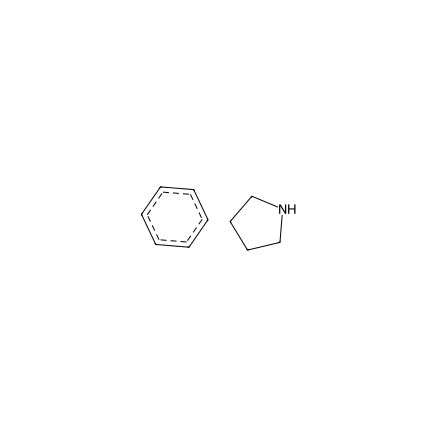 C1CCNC1.c1ccccc1